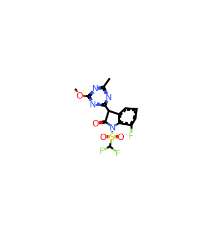 COc1nc(C)nc(C2C(=O)N(S(=O)(=O)C(F)F)c3c(F)cccc32)n1